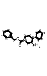 N[C@@H]1CN(C(=O)OCc2ccccc2)CC[C@H]1c1ccccc1